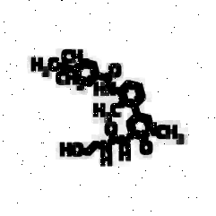 Cc1c(NC(=O)c2ccc(C(C)(C)C)cc2)cccc1-c1cc(NC(=O)NCCO)c(=O)n(C)c1